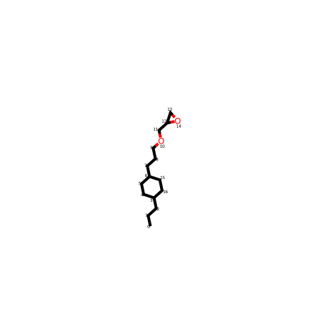 CCCC1CCC(CCCOCC2CO2)CC1